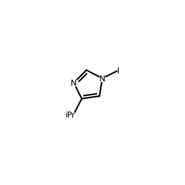 CC(C)c1cn(I)cn1